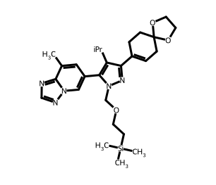 Cc1cc(-c2c(C(C)C)c(C3=CCC4(CC3)OCCO4)nn2COCC[Si](C)(C)C)cn2ncnc12